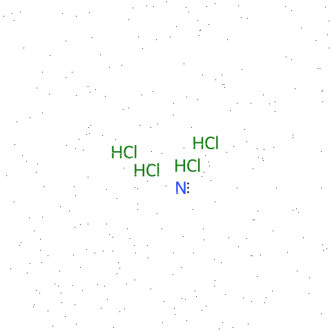 Cl.Cl.Cl.Cl.[N]